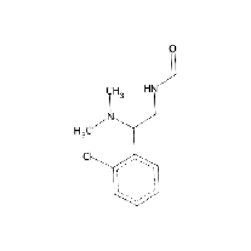 CN(C)C(CNC=O)c1ccccc1Cl